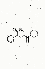 CN(C)C(=O)C(CCNC1CCCCC1)c1ccccc1